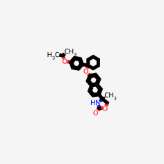 CC(C)Oc1ccc(C2(Oc3ccc4cc([C@]5(C)COC(=O)N5)ccc4c3)CCCCC2)cc1